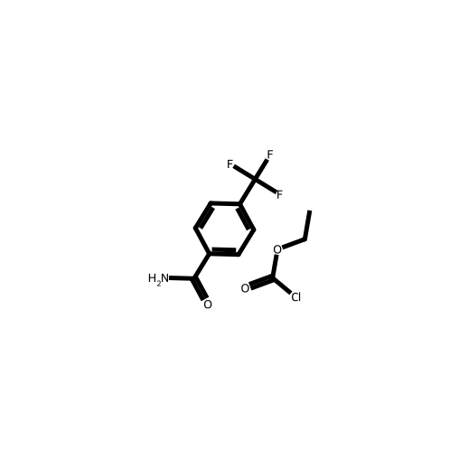 CCOC(=O)Cl.NC(=O)c1ccc(C(F)(F)F)cc1